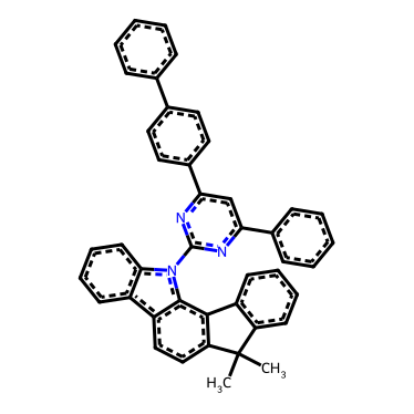 CC1(C)c2ccccc2-c2c1ccc1c3ccccc3n(-c3nc(-c4ccccc4)cc(-c4ccc(-c5ccccc5)cc4)n3)c21